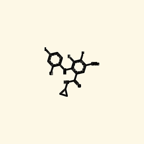 COc1cc(C(=O)NC2CC2)c(Nc2ccc(I)cc2Cl)c(F)c1F